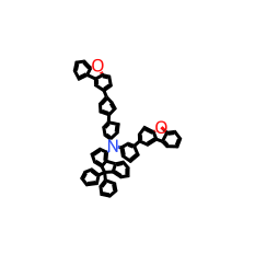 c1ccc(C2(c3ccccc3)c3ccccc3-c3c(N(c4ccc(-c5ccc(-c6ccc7oc8ccccc8c7c6)cc5)cc4)c4cccc(-c5ccc6oc7ccccc7c6c5)c4)cccc32)cc1